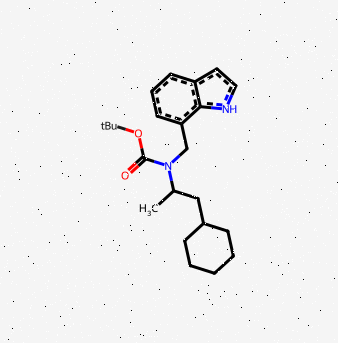 CC(CC1CCCCC1)N(Cc1cccc2cc[nH]c12)C(=O)OC(C)(C)C